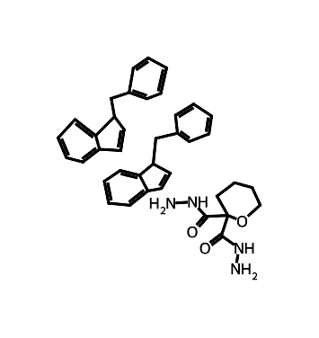 C1=CC(Cc2ccccc2)c2ccccc21.C1=CC(Cc2ccccc2)c2ccccc21.NNC(=O)C1(C(=O)NN)CCCCO1